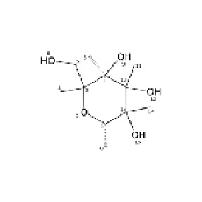 C[C@@H]1OC(C)(CO)[C@@](C)(O)C(C)(O)C1(C)O